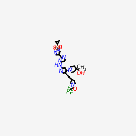 CC1(CO)CCN(c2cc(Nc3ccnc(-c4cnn(S(=O)(=O)C5CC5)c4)n3)ncc2C#CC2CCN(C(=O)C(F)(F)F)C2)CC1